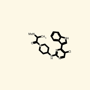 CNC(C)C(=O)N1CCC(Nc2ncc(Cl)c(-c3c[nH]c4ccccc34)n2)CC1